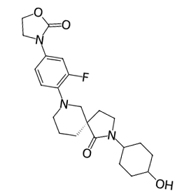 O=C1OCCN1c1ccc(N2CCC[C@@]3(CCN(C4CCC(O)CC4)C3=O)C2)c(F)c1